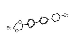 CC[C@@H]1CO[C@@H](c2ccc(-c3ccc([C@H]4CC[C@H](CC)CC4)cc3)cc2)CO1